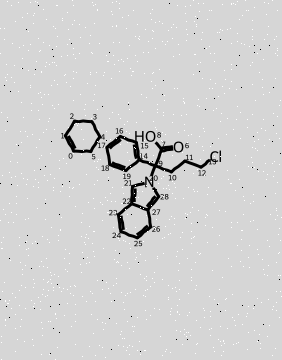 C1=CCCCC1.O=C(O)C(CCCCl)(c1ccccc1)n1cc2ccccc2c1